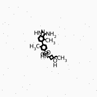 CCC1(O)CC(NS(=O)(=O)c2ccc(-c3ccc4[nH]nc(N)c4c3C)c(C)c2)C1